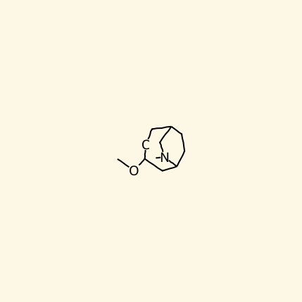 COC1CCC2CCC(C1)N(C)C2